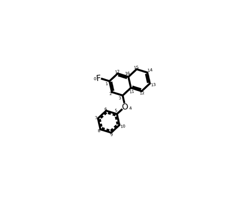 FC1=CC(Oc2ccccc2)C2=CC=CCC2=C1